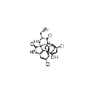 CC(C)CC(NC1(Cc2cccc(Cl)c2)C(=O)Nc2cc(Cl)ccc21)C(=O)N1CCC(O)CC1